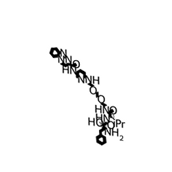 CC(C)C[C@H](NC(=O)[C@@H](O)[C@H](N)Cc1ccccc1)C(=O)NCCOCCOCCNc1ccc(NC(=O)c2ccn3c(n2)nc2ccccc23)cn1